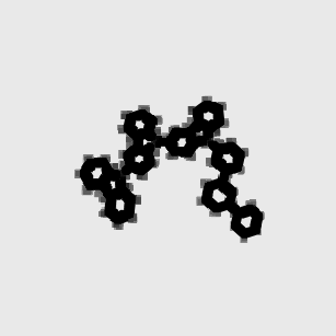 C1=CCCC(C2C=C(c3cccc(-n4c5ccccc5c5cc(-n6c7ccccc7c7cc(-n8c9ccccc9c9ccccc98)ccc76)ccc54)c3)CCC2)=C1